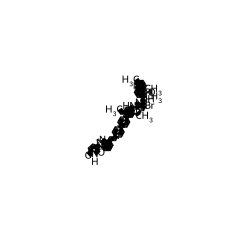 CCc1cc(Nc2ncc(Br)c(Nc3ccc4nc(C)ccc4c3P(C)(C)=O)n2)c(OC)cc1N1CCC(N2CCN(CCc3cccc4c3ncn4C3CCC(=O)NC3=O)CC2)CC1